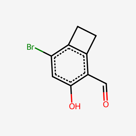 O=Cc1c(O)cc(Br)c2c1CC2